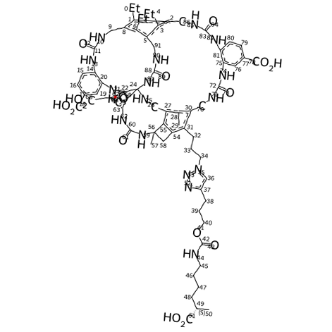 CCc1c2c(CC)c3c(CC)c1CNC(=O)Nc1ccc(C(=O)O)cc1NC(=O)C1(NCc4c(C)c(c(CCCn5cc(CCCOC(=O)NCCCC[C@H](C)C(=O)O)nn5)c5c4C(C)(C5)NC(=O)Nc4cc(C(=O)O)ccc41)CNC(=O)Nc1cc(C(=O)O)ccc1NC(=O)NC2)NC(=O)NC3